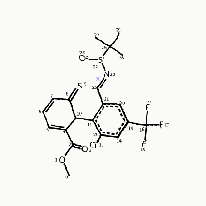 COC(=O)C1=CC=CC(=S)C1c1c(Cl)cc(C(F)(F)F)cc1/C=N/[S+]([O-])C(C)(C)C